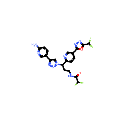 Nc1ccc(-c2cn(C(CCNC(=O)C(F)F)c3ccc(-c4nnc(C(F)F)o4)cn3)nn2)cn1